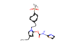 CC(C)Cc1cc(OC(=O)Nc2nccs2)n(CCc2ccc(S(C)(=O)=O)cc2)c1